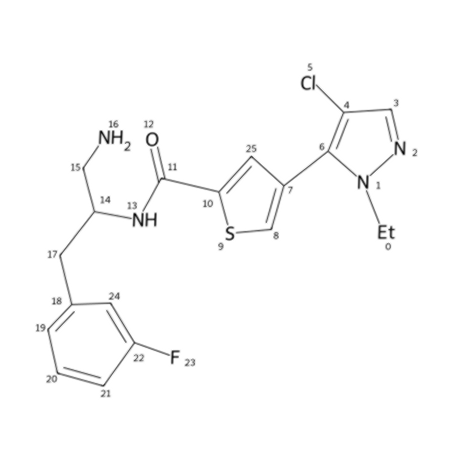 CCn1ncc(Cl)c1-c1csc(C(=O)NC(CN)Cc2cccc(F)c2)c1